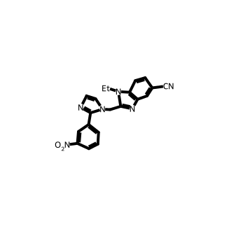 CCn1c(Cn2ccnc2-c2cccc([N+](=O)[O-])c2)nc2cc(C#N)ccc21